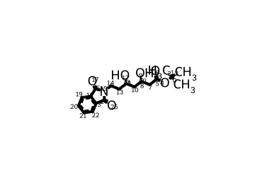 CC(C)(C)OC(=O)C[C@H](O)C[C@H](O)CCN1C(=O)c2ccccc2C1=O